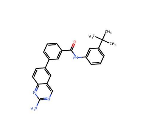 CC(C)(C)c1cccc(NC(=O)c2cccc(-c3ccc4nc(N)ncc4c3)c2)c1